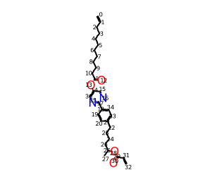 C=CCCCCCCCCCC(=O)Oc1cnc(-c2ccc(CCCCC(C)OC(=O)C=C)cc2)nc1